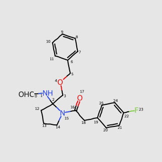 O=CNC1(COCc2ccccc2)CCCN1C(=O)Cc1ccc(F)cc1